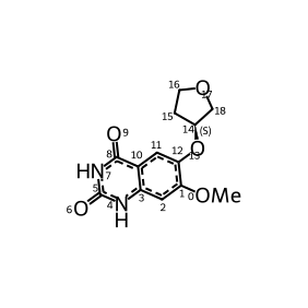 COc1cc2[nH]c(=O)[nH]c(=O)c2cc1O[C@H]1CCOC1